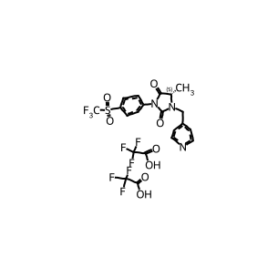 C[C@H]1C(=O)N(c2ccc(S(=O)(=O)C(F)(F)F)cc2)C(=O)N1Cc1ccncc1.O=C(O)C(F)(F)F.O=C(O)C(F)(F)F